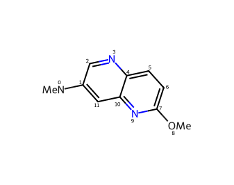 CNc1cnc2ccc(OC)nc2c1